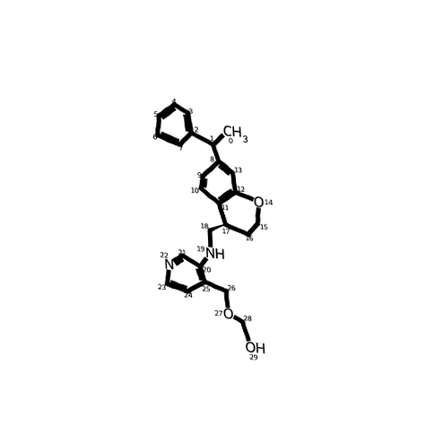 CC(c1ccccc1)c1ccc2c(c1)OCC[C@H]2CNc1cnccc1COCO